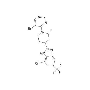 C[C@@H]1CN(c2nc3cc(C(F)(F)F)cc(Cl)c3[nH]2)CCN1c1ncccc1Br